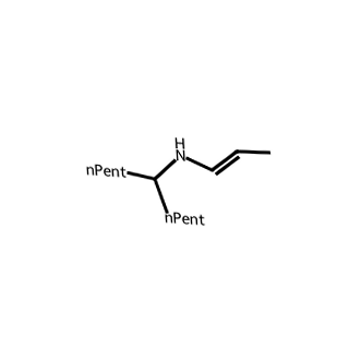 CC=CNC(CCCCC)CCCCC